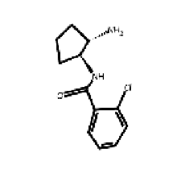 N[C@H]1CCC[C@@H]1NC(=O)c1ccccc1Cl